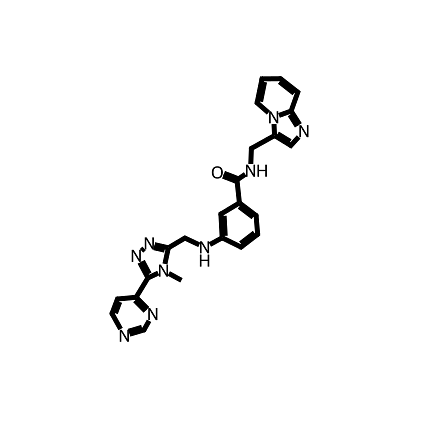 Cn1c(CNc2cccc(C(=O)NCc3cnc4ccccn34)c2)nnc1-c1ccncn1